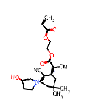 C=CC(=O)OCCOC(=O)/C(C#N)=C1/CC(C)(C)CC(N2CCC(O)C2)=C1C#N